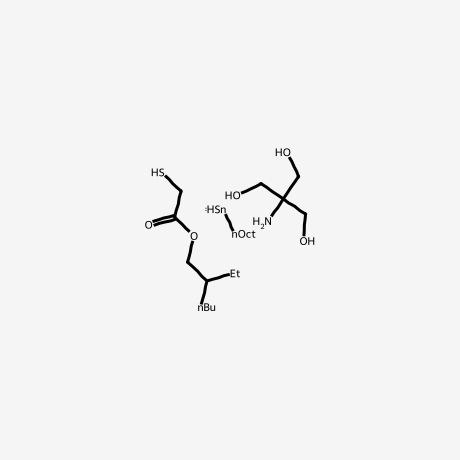 CCCCC(CC)COC(=O)CS.CCCCCCC[CH2][SnH].NC(CO)(CO)CO